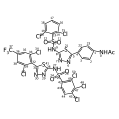 CC(=O)Nc1ccc(-c2nnc(NS(=O)(=O)c3c(Cl)cccc3Cl)s2)cc1.O=S(=O)(Nc1nnc(-c2c(Cl)cc(C(F)(F)F)cc2Cl)s1)c1ccc(Cl)c(Cl)c1Cl